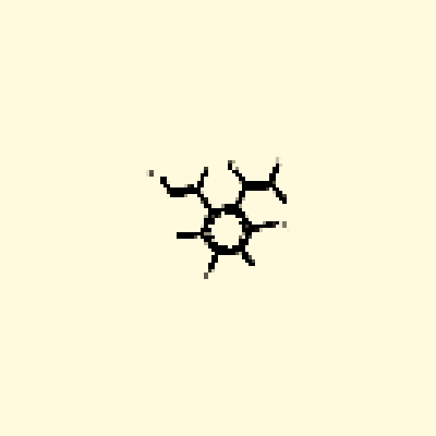 C/C(F)=C(/F)c1c(P)c(F)c(F)c(C)c1/C(C)=C/C(C)(C)C